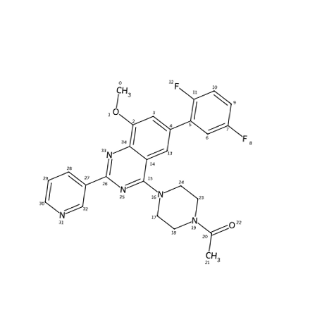 COc1cc(-c2cc(F)ccc2F)cc2c(N3CCN(C(C)=O)CC3)nc(-c3cccnc3)nc12